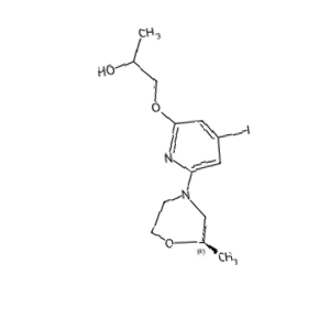 CC(O)COc1cc(I)cc(N2CCO[C@H](C)C2)n1